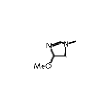 COC1[C]N(C)C=N1